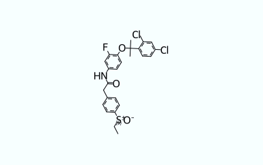 CC[S@@+]([O-])c1ccc(CC(=O)Nc2ccc(OC(C)(C)c3ccc(Cl)cc3Cl)c(F)c2)cc1